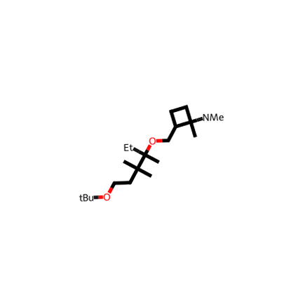 CCC(C)(OCC1CCC1(C)NC)C(C)(C)CCOC(C)(C)C